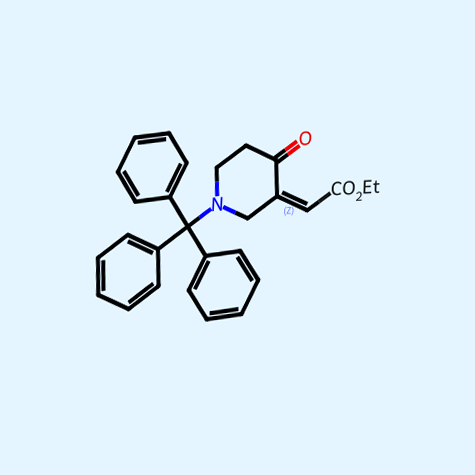 CCOC(=O)/C=C1/CN(C(c2ccccc2)(c2ccccc2)c2ccccc2)CCC1=O